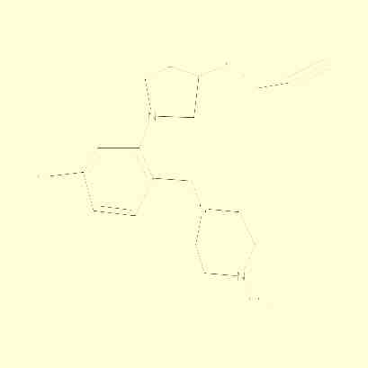 C#CCOC1CCN(c2cc(Cl)ccc2CN2CCN(C(=O)O)CC2)C1